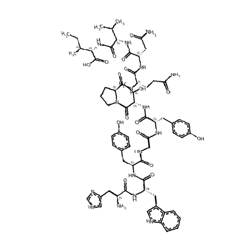 CC[C@H](C)[C@H](NC(=O)[C@@H](NC(=O)[C@H](CC(N)=O)NC(=O)[C@H](CCC(N)=O)NC(=O)[C@@H]1CCCN1C(=O)[C@@H](NC(=O)[C@H](Cc1ccc(O)cc1)NC(=O)CNC(=O)[C@H](Cc1ccc(O)cc1)NC(=O)[C@H](Cc1c[nH]c2ccccc12)NC(=O)[C@@H](N)Cc1c[nH]cn1)[C@@H](C)O)C(C)C)C(=O)O